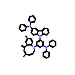 C=C1/C=C(C)\C=C/CN(c2cc(N(c3ccccc3)c3ccccc3)cc(-n3c4ccccc4c4cc(N(c5ccccc5)c5ccccc5)ccc43)c2)c2ccc(C)cc21